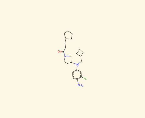 Nc1ccc(N(CC2CCC2)C2CCN(C(=O)CCC3CCCC3)C2)cc1Cl